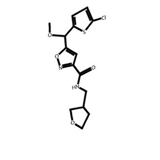 COC(c1cc(C(=O)NCC2CCOC2)no1)c1ccc(Cl)s1